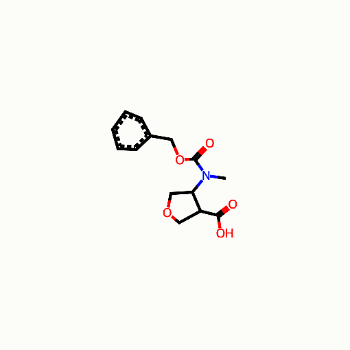 CN(C(=O)OCc1ccccc1)C1COCC1C(=O)O